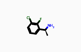 C[C@H](N)c1cccc(Cl)c1F